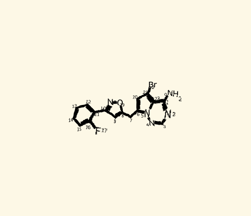 Nc1ncnn2c(Cc3cc(-c4ccccc4F)no3)cc(Br)c12